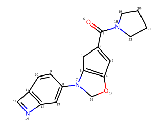 O=C(C1=CC2=C(C1)N(c1ccc3c(c1)N=C3)CO2)N1CCCC1